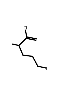 [CH2]C(CCCF)C(=C)Cl